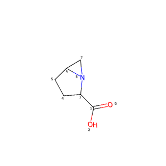 O=C(O)C1CCC2CN21